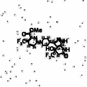 COC(=O)c1nc(N2CCC(c3n[nH]c4c3C(O)(C(F)(F)F)CC(=O)N4)CC2)ccc1C(F)(F)F